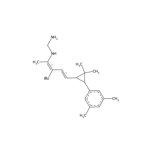 CCC(C)C(/C=C/C1C(c2cc(C)cc(C)c2)C1(C)C)=C(\C)NCN